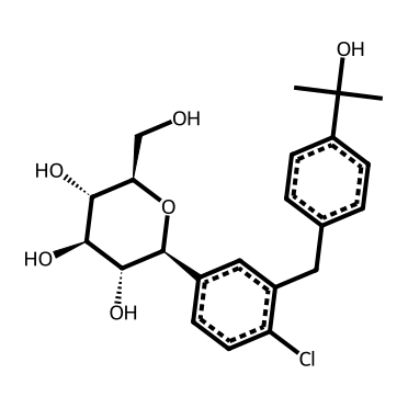 CC(C)(O)c1ccc(Cc2cc([C@@H]3O[C@H](CO)[C@@H](O)[C@H](O)[C@H]3O)ccc2Cl)cc1